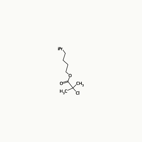 CC(C)CCCCOC(=O)C(C)(C)Cl